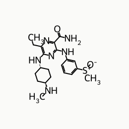 CCc1nc(C(N)=O)c(Nc2cccc([S+](C)[O-])c2)nc1N[C@H]1CC[C@H](NC)CC1